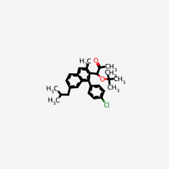 CC(=O)C(OC(C)(C)C)c1c(C)cc2ccc(CC(C)C)cc2c1-c1ccc(Cl)cc1